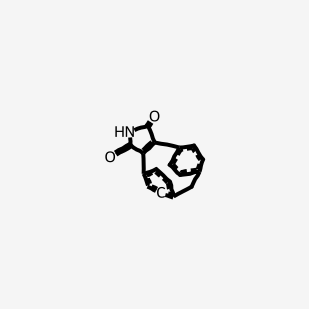 O=C1NC(=O)C2=C1c1ccc(cc1)Cc1ccc2cc1